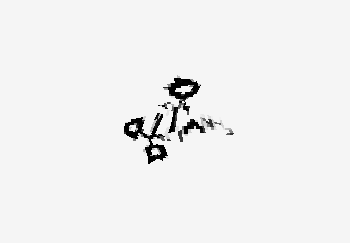 CN(C(=O)[C@H](CCCN)NC(=O)C(c1ccccc1)c1ccccc1)c1ccccc1